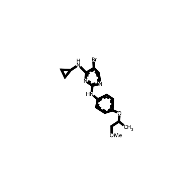 COCC(C)Oc1ccc(Nc2ncc(Br)c(NC3CC3)n2)cc1